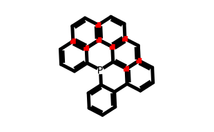 c1ccc(-c2ccccc2P(c2ccccc2-c2ccccc2)c2ccccc2-c2ccccc2)cc1